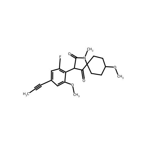 CC#Cc1cc(F)c(C2C(=O)N(C)C3(CCC(OC)CC3)C2=O)c(OC)c1